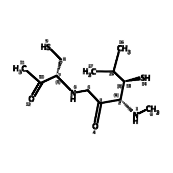 CN[C@H](C(=O)CN[C@@H](CS)C(C)=O)[C@H](S)C(C)C